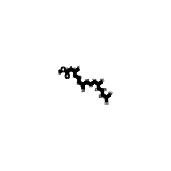 COC(=O)CC(C)CCCC(C)CCCC(C)CCCC(C)C